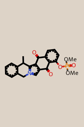 COP(=O)(OC)Oc1cccc2c1C(=O)c1cn3c(c1C2=O)C(C)c1ccccc1C3